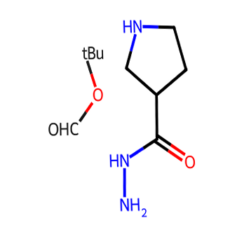 CC(C)(C)OC=O.NNC(=O)C1CCNC1